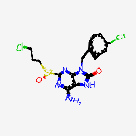 Nc1nc([S+]([O-])CCCCl)nc2c1[nH]c(=O)n2Cc1ccc(Cl)cc1